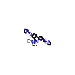 CCN(CC)c1nc2cc(N=CN3CCCC3)ccc2c2ccc(N=CN3CCCC3)cc12